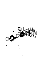 COc1cc(B2OC(C)(C)C(C)(C)O2)ccc1OCc1ccc(Cl)c(F)c1